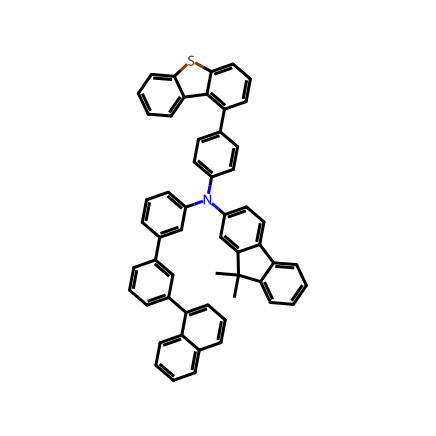 CC1(C)c2ccccc2-c2ccc(N(c3ccc(-c4cccc5sc6ccccc6c45)cc3)c3cccc(-c4cccc(-c5cccc6ccccc56)c4)c3)cc21